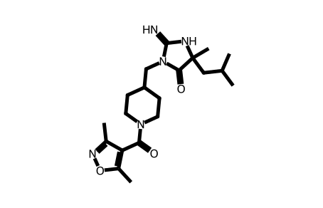 Cc1noc(C)c1C(=O)N1CCC(CN2C(=N)NC(C)(CC(C)C)C2=O)CC1